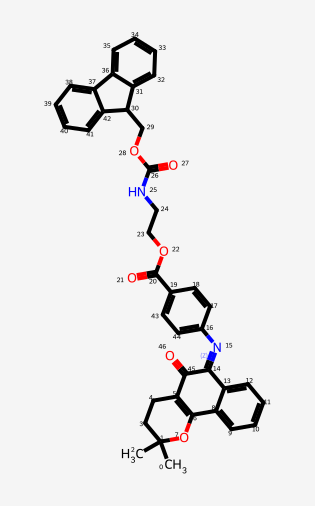 CC1(C)CCC2=C(O1)c1ccccc1/C(=N/c1ccc(C(=O)OCCNC(=O)OCC3c4ccccc4-c4ccccc43)cc1)C2=O